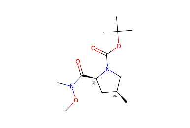 CON(C)C(=O)[C@@H]1C[C@H](C)CN1C(=O)OC(C)(C)C